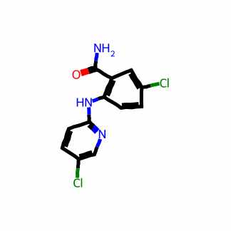 NC(=O)c1cc(Cl)ccc1Nc1ccc(Cl)cn1